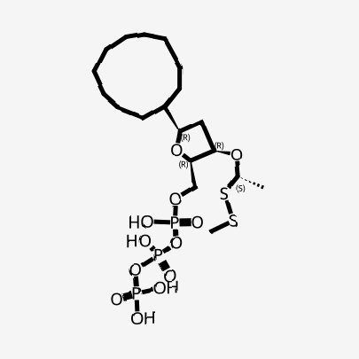 CSS[C@@H](C)O[C@@H]1C[C@H](C2CCCCCCCCCC2)O[C@@H]1COP(=O)(O)OP(=O)(O)OP(=O)(O)O